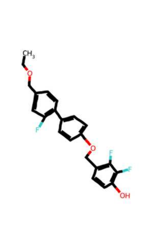 CCOCc1ccc(-c2ccc(OCc3ccc(O)c(F)c3F)cc2)c(F)c1